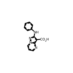 O=C(O)c1c(Nc2ccccc2)nn2cccnc12